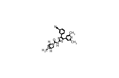 Cc1cc(-c2sc(NC(=O)N3C[C@@H]4C[C@H]3CN4C)nc2-c2cccc(C#N)c2)cc(C)n1